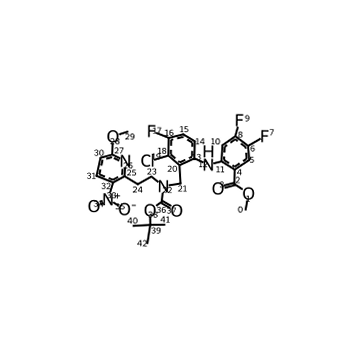 COC(=O)c1cc(F)c(F)cc1Nc1ccc(F)c(Cl)c1CN(CCc1nc(OC)ccc1[N+](=O)[O-])C(=O)OC(C)(C)C